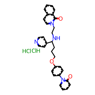 Cl.Cl.O=c1c2ccccc2ccn1CCNC(CCCOc1ccc(-n2ccccc2=O)cc1)c1ccncc1